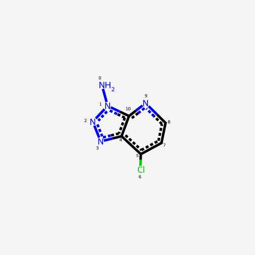 Nn1nnc2c(Cl)ccnc21